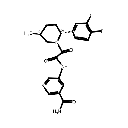 C[C@H]1CC[C@H](c2ccc(F)c(Cl)c2)N(C(=O)C(=O)Nc2cncc(C(N)=O)c2)C1